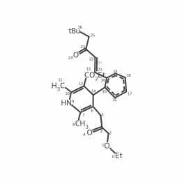 CCOCC(=O)CC1=C(C)NC(C)=C(C(=O)OCC)C1c1ccccc1/C=C/C(=O)CC(C)(C)C